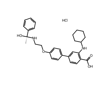 C[C@@](O)(NCCOc1ccc(-c2ccc(C(=O)O)c(NC3CCCCC3)c2)cc1)c1ccccc1.Cl